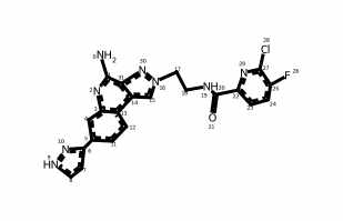 Nc1nc2cc(-c3cc[nH]n3)ccc2c2cn(CCNC(=O)c3ccc(F)c(Cl)n3)nc12